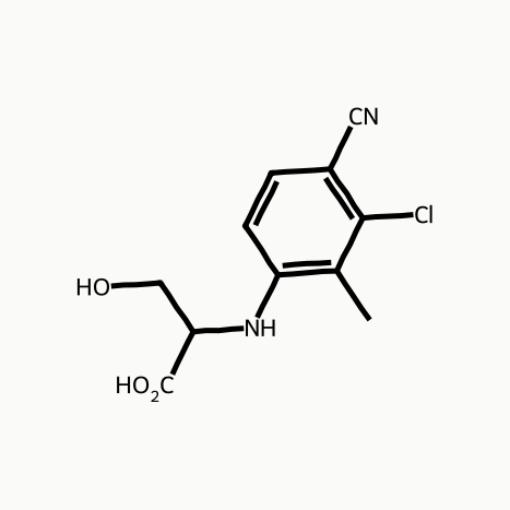 Cc1c(NC(CO)C(=O)O)ccc(C#N)c1Cl